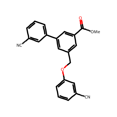 COC(=O)c1cc(COc2cccc(C#N)c2)cc(-c2cccc(C#N)c2)c1